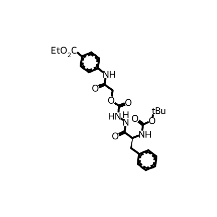 CCOC(=O)c1ccc(NC(=O)COC(=O)NNC(=O)[C@H](Cc2ccccc2)NC(=O)OC(C)(C)C)cc1